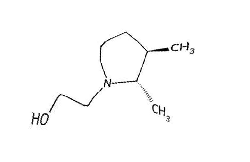 C[C@@H]1CCN(CCO)[C@H]1C